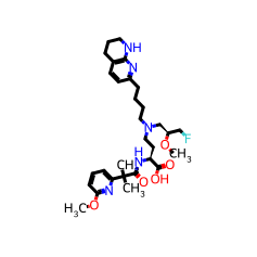 COc1cccc(C(C)(C)C(=O)N[C@@H](CCN(CCCCc2ccc3c(n2)NCCC3)C[C@@H](CF)OC)C(=O)O)n1